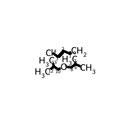 C=CC=CCl.CC(C)COCC(C)C